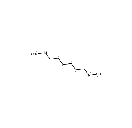 O=CNCCCCCCNO